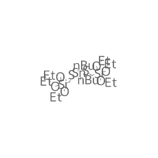 CCC[CH2][Sn]([CH2]CCC)([S]C[Si](OCC)(OCC)OCC)[S]C[Si](OCC)(OCC)OCC